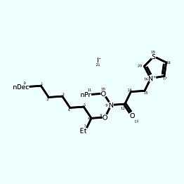 CCCCCCCCCCCCCCCC(CC)ON(OCCC)C(=O)CC[n+]1ccsc1.[I-]